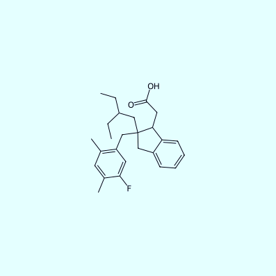 CCC(CC)CC1(Cc2cc(F)c(C)cc2C)Cc2ccccc2C1CC(=O)O